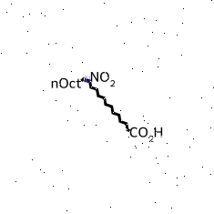 CCCCCCCC/C=C(\CCCCCCCCCCCC(=O)O)[N+](=O)[O-]